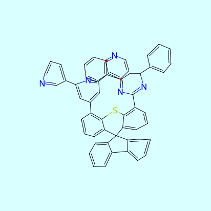 c1ccc(C2=NC(c3cccc4c3Sc3c(-c5cc(-c6cccnc6)nc(-c6cccnc6)c5)cccc3C43c4ccccc4-c4ccccc43)=NC(c3ccccc3)C2)cc1